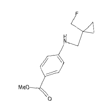 COC(=O)c1ccc(NCC2(CF)CC2)cc1